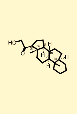 C[C@]12CCCC[C@@H]1CC[C@@H]1[C@@H]2CC[C@]2(C)[C@@H](C(=O)CO)CC[C@@H]12